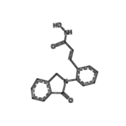 O=C(C=Cc1ccccc1N1Cc2ccccc2C1=O)NO